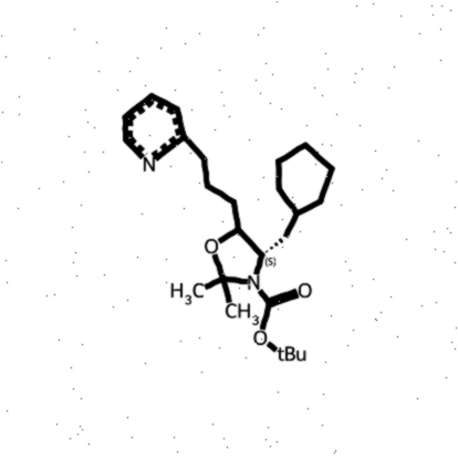 CC(C)(C)OC(=O)N1[C@@H](CC2CCCCC2)C(CCCc2ccccn2)OC1(C)C